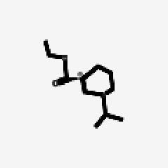 CCOC(=O)[C@@H]1CCCN(C(C)C)C1